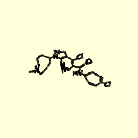 CN1CCC(n2ncc3c(Cl)c(C(=O)Nc4ccc(Cl)cc4)cnc32)CC1